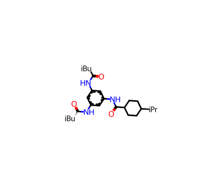 CCC(C)C(=O)Nc1cc(NC(=O)C2CCC(C(C)C)CC2)cc(NC(=O)[C@@H](C)CC)c1